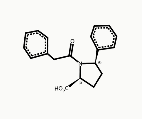 O=C(O)[C@@H]1CC[C@H](c2ccccc2)N1C(=O)Cc1ccccc1